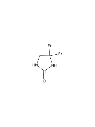 CCC1(CC)CNC(=O)N1